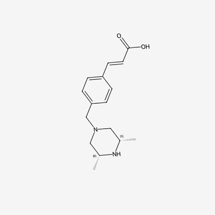 C[C@@H]1CN(Cc2ccc(C=CC(=O)O)cc2)C[C@H](C)N1